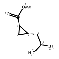 COC(=O)[C@@H]1C[C@H]1CN(C)C